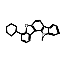 Cn1c2ccccc2c2ccc3oc4c(C5CCCCC5)cccc4c3c21